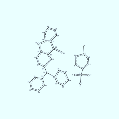 Cc1ccc(S(=O)(=O)[O-])cc1.S=c1c2ccccc2oc2ccc([S+](c3ccccc3)c3ccccc3)cc12